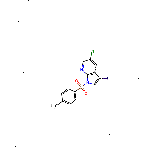 Cc1ccc(S(=O)(=O)n2cc(I)c3cc(Cl)cnc32)cc1